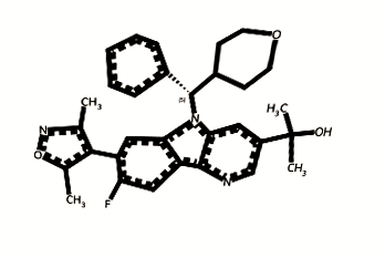 Cc1noc(C)c1-c1cc2c(cc1F)c1ncc(C(C)(C)O)cc1n2[C@H](c1ccccc1)C1CCOCC1